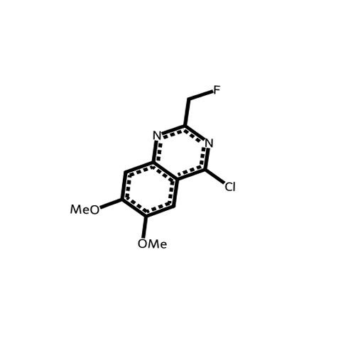 COc1cc2nc(CF)nc(Cl)c2cc1OC